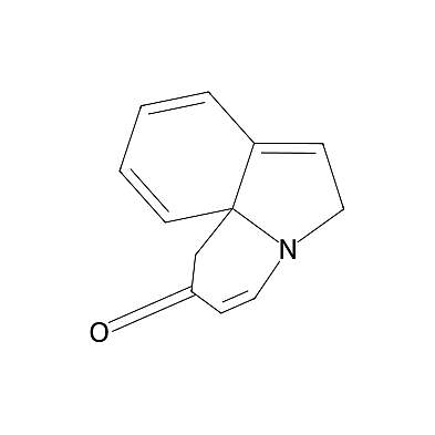 O=C1C=CN2CC=C3C=CC=CC32C1